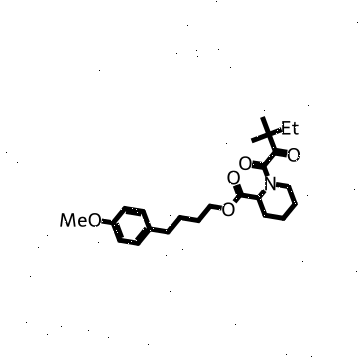 CCC(C)(C)C(=O)C(=O)N1CCCCC1C(=O)OCCCCc1ccc(OC)cc1